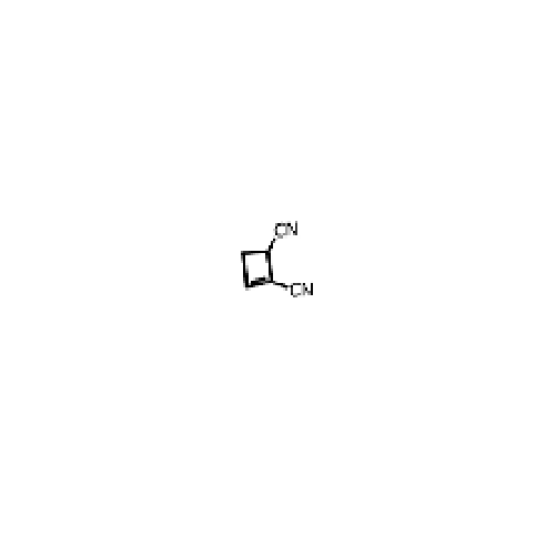 N#CC1=CCC1C#N